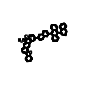 CC1(C)c2ccc(-c3ccc4cc(-c5c6ccccc6c(-c6cccc7ccccc67)c6ccccc56)ccc4c3)cc2-c2cc3c4c(ccc3cc21)C1C=CC=CC1O4